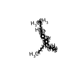 CCCCCCCn1nc(NC(=O)c2cnsc2)c2cc(Br)c(-c3ccc(OC(=O)NCCCN(C)C)cc3)nc21